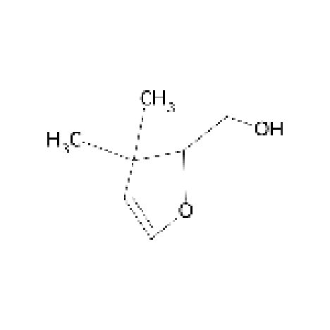 CC1(C)C=COC1CO